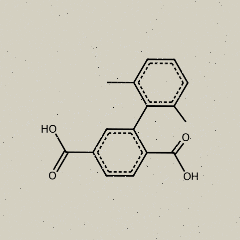 Cc1cccc(C)c1-c1cc(C(=O)O)ccc1C(=O)O